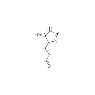 C=CCSC1C=NNC1=O